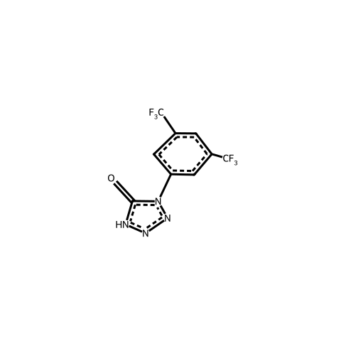 O=c1[nH]nnn1-c1cc(C(F)(F)F)cc(C(F)(F)F)c1